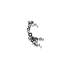 CCCCNc1nc(N)nc2cnn(Cc3ccc(CN4CC5(C4)CN(C(=O)C4(C)CC4)C5)cc3OC)c12